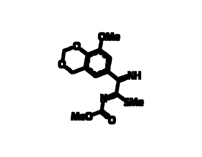 COC(=O)N=C(SC)C(=N)c1cc2c(c(OC)c1)OCOC2